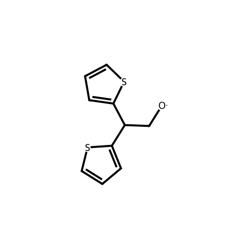 [O]CC(c1cccs1)c1cccs1